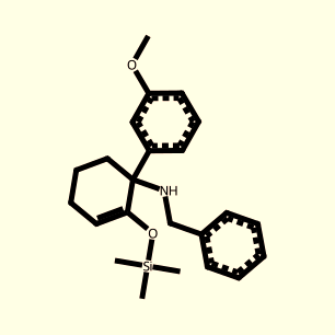 COc1cccc(C2(NCc3ccccc3)CCCC=C2O[Si](C)(C)C)c1